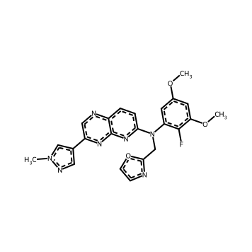 COc1cc(OC)c(F)c(N(Cc2ncco2)c2ccc3ncc(-c4cnn(C)c4)nc3n2)c1